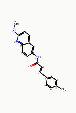 CCCCNc1ccc2cc(NC(=O)/C=C/c3ccc(C(F)(F)F)cc3)ccc2n1